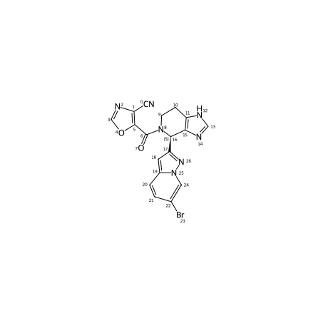 N#Cc1ncoc1C(=O)N1CCc2[nH]cnc2[C@H]1c1cc2ccc(Br)cn2n1